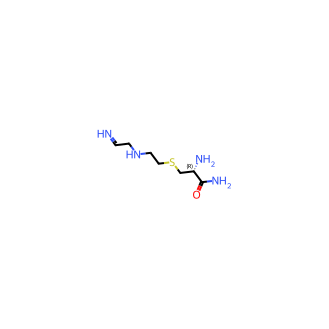 N=CCNCCSC[C@H](N)C(N)=O